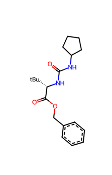 CC(C)(C)[C@H](NC(=O)NC1CCCC1)C(=O)OCc1ccccc1